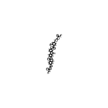 C=CC(=O)OCOCc1ccc(C(=O)Oc2ccc3c(c2)C(C)c2cc(OC(=O)c4ccc(OCOC(=O)C=C)cc4F)ccc2-3)c(F)c1